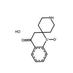 Cl.O=C1CC2(CCNCC2)[S+]([O-])c2ccccc21